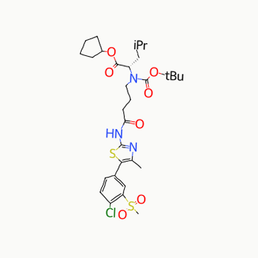 Cc1nc(NC(=O)CCCN(C(=O)OC(C)(C)C)[C@@H](CC(C)C)C(=O)OC2CCCC2)sc1-c1ccc(Cl)c(S(C)(=O)=O)c1